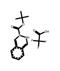 CC(C)(C)OC(=O)N1C=c2ccccc2=CN1.O=C(O)C(F)(F)F